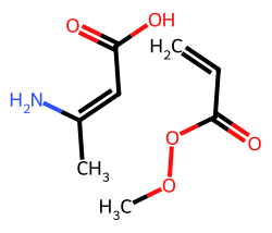 C=CC(=O)OOC.CC(N)=CC(=O)O